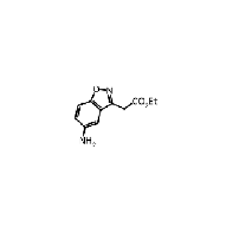 CCOC(=O)Cc1noc2ccc(N)cc12